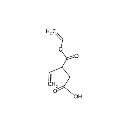 C=COC(=O)C(C=C)CC(=O)O